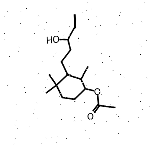 CCC(O)CCC1C(C)C(OC(C)=O)CCC1(C)C